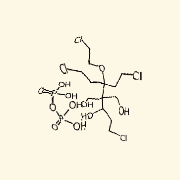 O=P(O)(O)OP(=O)(O)O.OCC(CO)(C(O)CCCl)C(CCCl)(CCCl)OCCCl